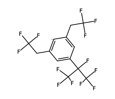 FC(F)(F)Cc1[c]c(CC(F)(F)F)cc(C(F)(C(F)(F)F)C(F)(F)F)c1